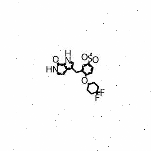 CS(=O)(=O)c1ccc(OC2CCC(F)(F)CC2)c(Cc2c[nH]c3c(=O)[nH]ccc23)c1